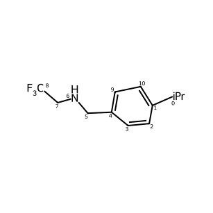 CC(C)c1ccc(CNCC(F)(F)F)cc1